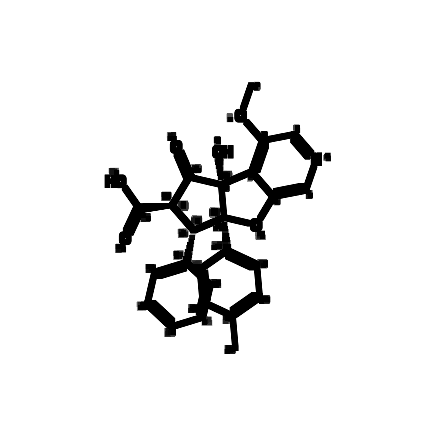 COc1cncc2c1[C@]1(O)C(=O)[C@H](C(=O)O)[C@@H](c3ccccc3)[C@]1(c1ccc(C)cc1)O2